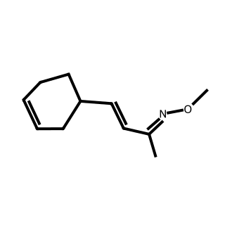 CON=C(C)C=CC1CC=CCC1